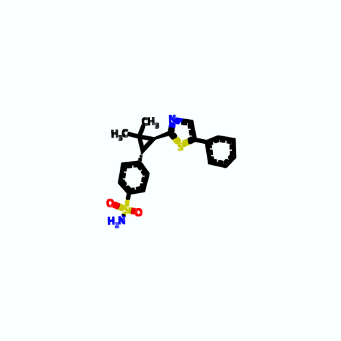 CC1(C)[C@@H](c2ccc(S(N)(=O)=O)cc2)[C@@H]1c1ncc(-c2ccccc2)s1